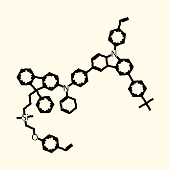 C=Cc1ccc(OCC[Si](C)(C)CCCC2(c3ccccc3)c3ccccc3-c3ccc(N(C4=CC=CCC4)c4ccc(C5=CC6c7cc(-c8ccc(C(C)(C)C)cc8)ccc7N(c7ccc(C=C)cc7)C6C=C5)cc4)cc32)cc1